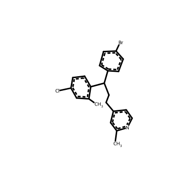 Cc1cc(CCC(c2ccc(Br)cc2)c2ccc(Cl)cc2C)ccn1